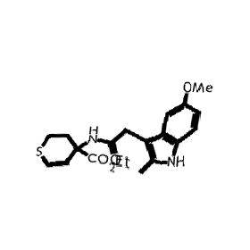 CCOC(=O)C1(NC(=O)Cc2c(C)[nH]c3ccc(OC)cc23)CCSCC1